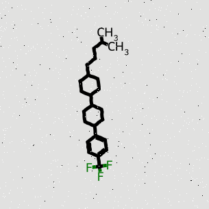 CC(C)CCCC1CCC(C2CCC(c3ccc(C(F)(F)F)cc3)CC2)CC1